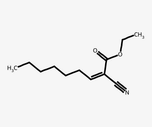 CCCCCCC=C(C#N)C(=O)OCC